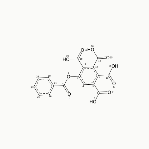 O=C(Oc1cc(C(=O)O)c(C(=O)O)c(C(=O)O)c1C(=O)O)c1ccccc1